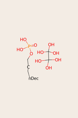 CCCCCCCCCCCCCOP(=O)(O)O.OC(O)(O)C(O)(O)O